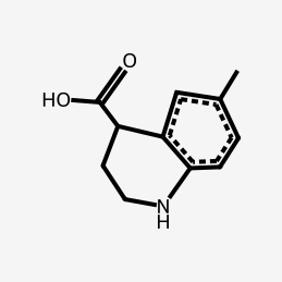 Cc1ccc2c(c1)C(C(=O)O)CCN2